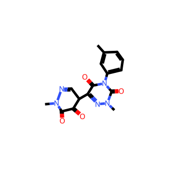 Cc1cccc(-n2c(=O)c(C3C=NN(C)C(=O)C3=O)nn(C)c2=O)c1